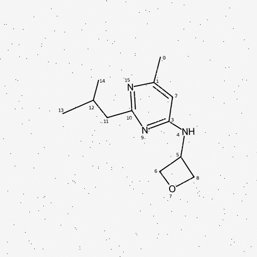 Cc1cc(NC2COC2)nc(CC(C)C)n1